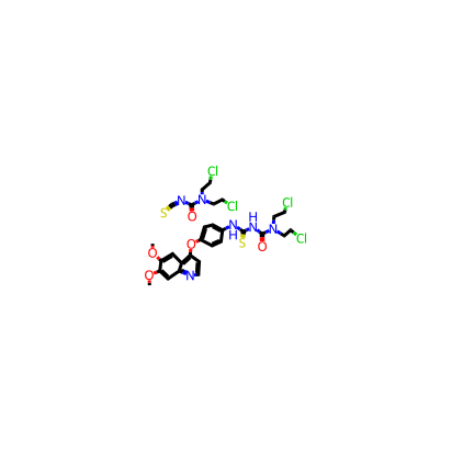 COc1cc2nccc(Oc3ccc(NC(=S)NC(=O)N(CCCl)CCCl)cc3)c2cc1OC.O=C(N=C=S)N(CCCl)CCCl